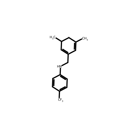 CC1=CC(CNc2ccc(C(F)(F)F)cc2)=CC(C)[CH]1